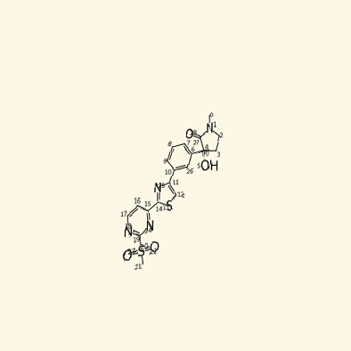 CN1CC[C@@](O)(c2cccc(-c3csc(-c4ccnc(S(C)(=O)=O)n4)n3)c2)C1=O